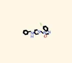 O=c1cnc2ccc(F)cc2n1CCN1CCC(NCc2ccccc2)CC1